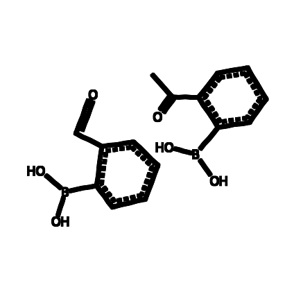 CC(=O)c1ccccc1B(O)O.O=Cc1ccccc1B(O)O